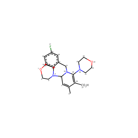 CC1=CC(N2CCOCC2)N(Cc2cccc(F)c2)C(N2CCOCC2)=C1C(=O)O